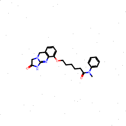 CN(C(=O)CCCCCOc1cccc2c1N=C1NC(=O)CN1C2)c1ccccc1